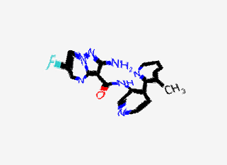 Cc1cccnc1-c1ccncc1NC(=O)c1c(N)nn2cc(F)cnc12